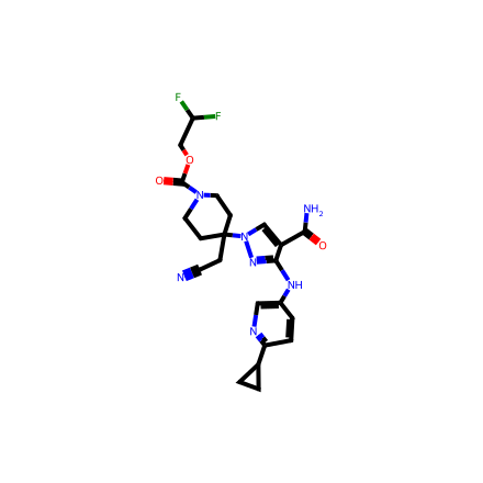 N#CCC1(n2cc(C(N)=O)c(Nc3ccc(C4CC4)nc3)n2)CCN(C(=O)OCC(F)F)CC1